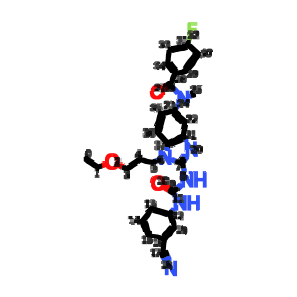 CCOCCCn1c(NC(=O)Nc2cccc(C#N)c2)nc2cc(N(C)C(=O)c3ccc(F)cc3)ccc21